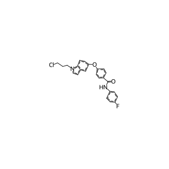 O=C(Nc1ccc(F)cc1)c1ccc(Oc2ccc3c(ccn3CCCCl)c2)cc1